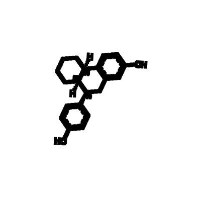 Oc1ccc([C@@H]2Cc3cc(O)ccc3[C@@H]3CCCC[C@H]23)cc1